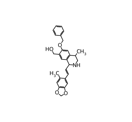 Cc1cc2c(cc1/C=C/C1NCC(C)c3cc(OCc4ccccc4)c(CO)cc31)OCO2